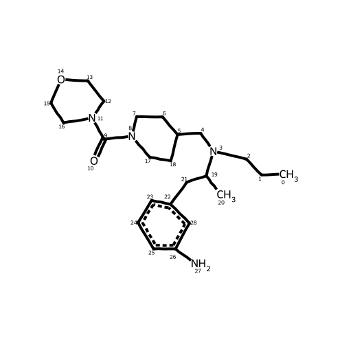 CCCN(CC1CCN(C(=O)N2CCOCC2)CC1)C(C)Cc1cccc(N)c1